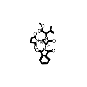 C=C(C)C(C(=O)OC)N1C(=O)[C@@H](N2C(=O)c3ccccc3C2=O)[C@H]1N1C(=O)CCC1=O